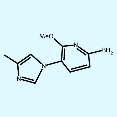 Bc1ccc(-n2cnc(C)c2)c(OC)n1